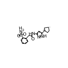 NS(=O)(=O)c1ccccc1CC(=O)Nc1cc([C@H]2C[CH]CC2)[nH]n1